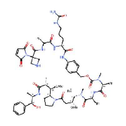 CC[C@H](C)[C@@H]([C@@H](CC(=O)N1CCC[C@H]1[C@H](OC)[C@@H](C)C(=O)N[C@H](C)[C@@H](O)c1ccccc1)OC)N(C)C(=O)[C@@H](NC(=O)[C@H](C(C)C)N(C)C(=O)OCc1ccc(NC(=O)[C@H](CCCNC(N)=O)NC(=O)C(NC(=O)C2(N3C(=O)C=CC3=O)CNC2)C(C)C)cc1)C(C)C